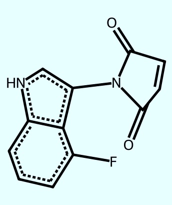 O=C1C=CC(=O)N1c1c[nH]c2cccc(F)c12